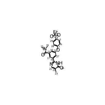 CCS(=O)(=O)c1ccc(Oc2cc(C(=O)N(C)C)cc(-c3ncc(C)c(=O)[nH]3)c2)cc1